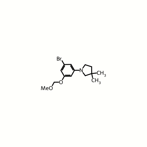 COCOc1cc(Br)cc(N2CCC(C)(C)C2)c1